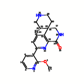 CCOc1ncccc1-c1ccc2c(n1)C(=O)NC[C@]21CCNC[C@H]1CC